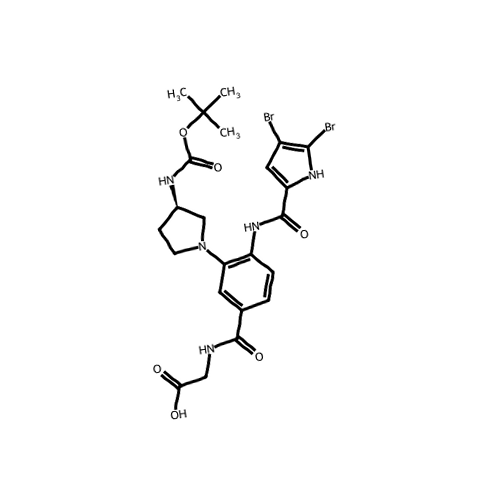 CC(C)(C)OC(=O)N[C@@H]1CCN(c2cc(C(=O)NCC(=O)O)ccc2NC(=O)c2cc(Br)c(Br)[nH]2)C1